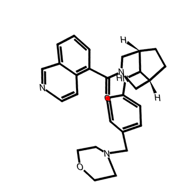 O=C(c1cccc2cnccc12)N1C[C@H]2CC[C@@H](C1)C2Nc1ccc(CN2CCOCC2)cc1